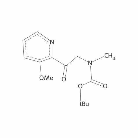 COc1cccnc1C(=O)CN(C)C(=O)OC(C)(C)C